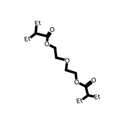 CCC(CC)C(=O)OCCOCCOC(=O)C(CC)CC